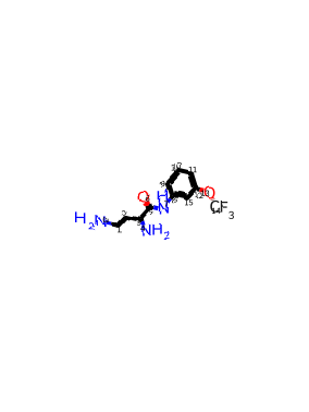 NCCC(N)C(=O)Nc1cccc(OC(F)(F)F)c1